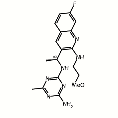 COCCNc1nc2cc(F)ccc2cc1[C@H](C)Nc1nc(C)nc(N)n1